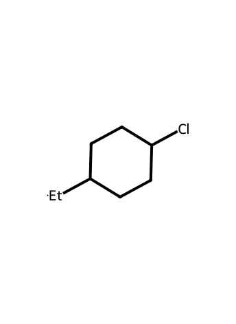 C[CH]C1CCC(Cl)CC1